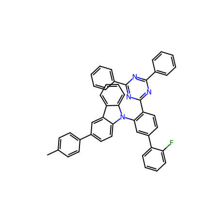 Cc1ccc(-c2ccc3c(c2)c2ccccc2n3-c2cc(-c3ccccc3F)ccc2-c2nc(-c3ccccc3)nc(-c3ccccc3)n2)cc1